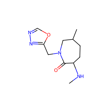 CNC1CCC(C)CN(Cc2nnco2)C1=O